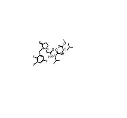 COC(=O)[C@H](CC(C)C)NC(=O)[C@@H](NC(=O)C[C@@H]1CCC(=S)N1Cc1cc(F)cc(F)c1F)C(C)C